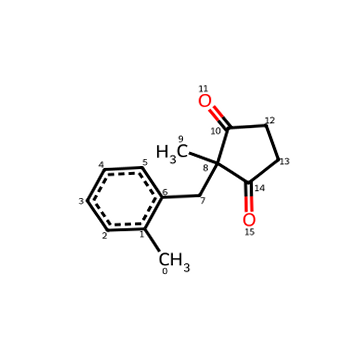 Cc1ccccc1CC1(C)C(=O)CCC1=O